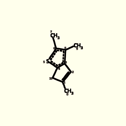 CC1=Cc2c(sc(C)c2C)C1